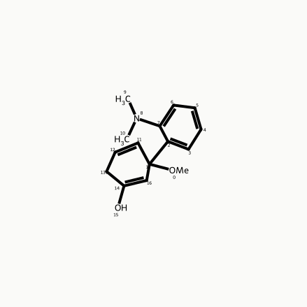 COC1(c2ccccc2N(C)C)C=C[CH]C(O)=C1